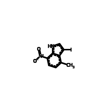 Cc1ccc([N+](=O)[O-])c2[nH]cc(I)c12